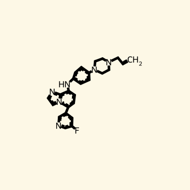 C=CCN1CCN(c2ccc(Nc3ccc(-c4cncc(F)c4)n4ccnc34)cc2)CC1